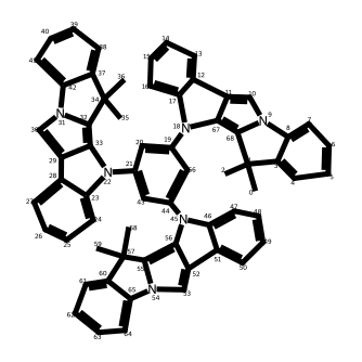 CC1(C)c2ccccc2-n2cc3c4ccccc4n(-c4cc(-n5c6ccccc6c6cn7c(c65)C(C)(C)c5ccccc5-7)cc(-n5c6ccccc6c6cn7c(c65)C(C)(C)c5ccccc5-7)c4)c3c21